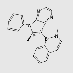 C[C@@H]1N(B2c3ccccc3C=CN2C)c2nccnc2N1c1ccccc1